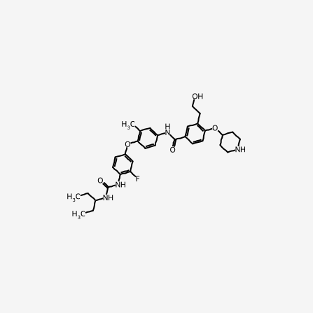 CCC(CC)NC(=O)Nc1ccc(Oc2ccc(NC(=O)c3ccc(OC4CCNCC4)c(CCO)c3)cc2C)cc1F